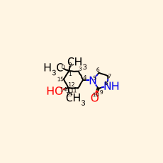 CC1(C)CC(N2CCNC2=O)CC(C)(O)C1